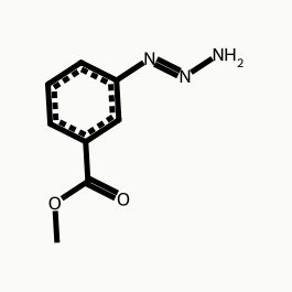 COC(=O)c1cccc(N=NN)c1